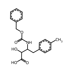 Cc1ccc(CC(NC(=O)OCc2ccccc2)C(O)C(=O)O)cc1